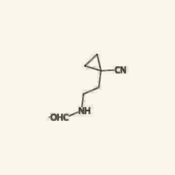 N#CC1(CCN[C]=O)CC1